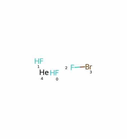 F.F.FBr.[He]